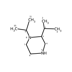 CC(C)C1CNCCN1C(C)C